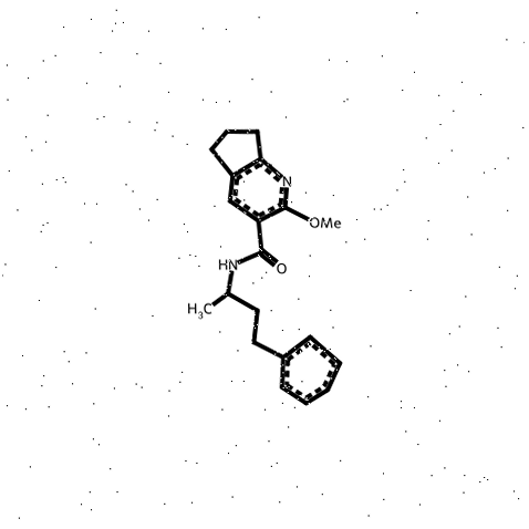 COc1nc2c(cc1C(=O)NC(C)CCc1ccccc1)CCC2